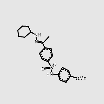 COc1ccc(NS(=O)(=O)c2ccc(C(C)=NNC3CCCCC3)cc2)cc1